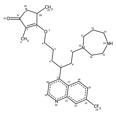 CC1=C(OCCCC(CCN2CCCNCC2)c2ccnc3cc(C(F)(F)F)ccc23)C(C)SC1=O